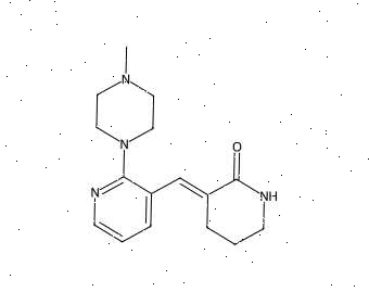 CN1CCN(c2ncccc2C=C2CCCNC2=O)CC1